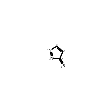 S=C1C=CN=N1